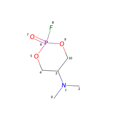 CN(C)C1COP(=O)(F)OC1